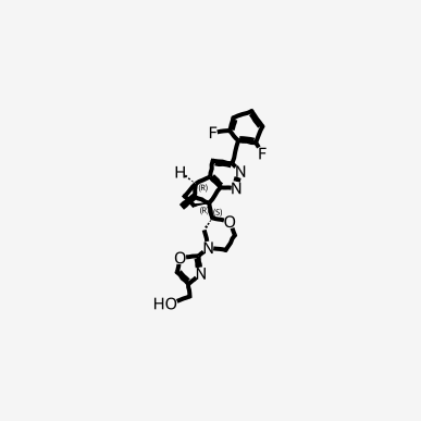 C=C1[C@H]2CC[C@]1([C@H]1CN(c3nc(CO)co3)CCO1)c1nnc(-c3c(F)cccc3F)cc12